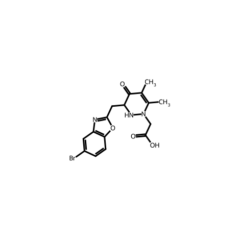 CC1=C(C)N(CC(=O)O)NC(Cc2nc3cc(Br)ccc3o2)C1=O